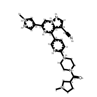 CN1CCC(C(=O)N2CCN(c3ccc(-c4nc(-c5cnn(C)c5)cn5ncc(C#N)c45)cn3)CC2)C1